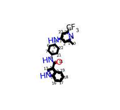 Cc1cc(N[C@H]2CC[C@@H](NC(=O)c3c[nH]c4ccccc34)CC2)cc(C(F)(F)F)n1